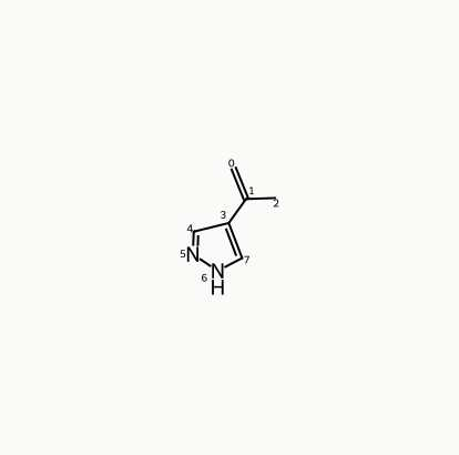 C=C(C)c1cn[nH]c1